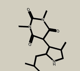 CC(C)CC1NCC(C)C1C1C(=O)N(C)C(=O)N(C)C1=O